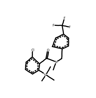 CN(Cc1ccc(C(F)(F)F)cc1)C(=O)c1c(Cl)cccc1[Si](C)(C)C